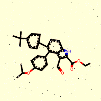 CCOC(=O)c1[nH]c2ccc(-c3ccc(C(C)(C)C)cc3)c(-c3ccc(OC(C)C)cc3)c2c1C=O